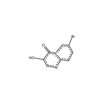 O=c1c(O)cnc2ccc(Br)cn12